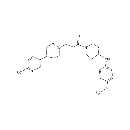 O=C(CCN1CCN(c2ccc(C(F)(F)F)nc2)CC1)N1CCC(Nc2ccc(SC(F)(F)F)cc2)CC1